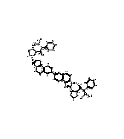 CCN(CC)[C@@H](C(=O)N1CCC[C@H]1c1nc2c(ccc3cc(-c4ccc5c(ccc6nc([C@@H]7CCCN7C(=O)[C@@H](c7ccccc7)N(CC)CC)[nH]c65)c4)ccc32)[nH]1)c1ccccc1